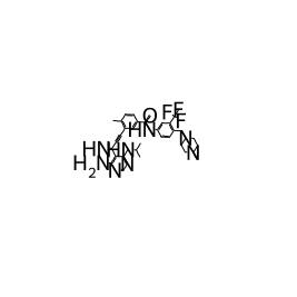 Cc1ccc(C(=O)Nc2ccc(CN3CCN(C)CC3)c(C(F)(F)F)c2)cc1C#CC(=N)c1c(N)ncnc1NC(C)C